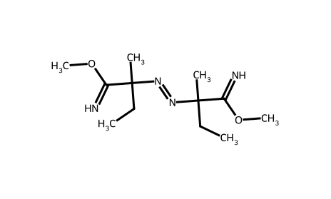 CCC(C)(N=NC(C)(CC)C(=N)OC)C(=N)OC